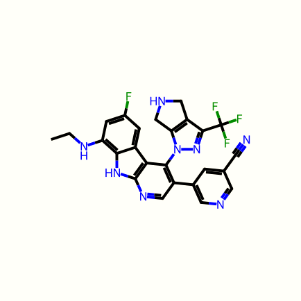 CCNc1cc(F)cc2c1[nH]c1ncc(-c3cncc(C#N)c3)c(-n3nc(C(F)(F)F)c4c3CNC4)c12